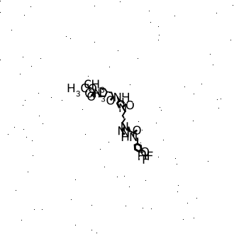 CC(C)(C)OC(=O)N1CCC(CC(=O)Nc2ccn(CCCCn3cc(C(=O)NCc4cccc(OC(F)(F)F)c4)nn3)c(=O)c2)CC1